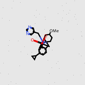 COC1CCC2(CC1)Cc1ccc(C3CC3)cc1C21NC(=O)N(Cc2cncnc2)C1=O